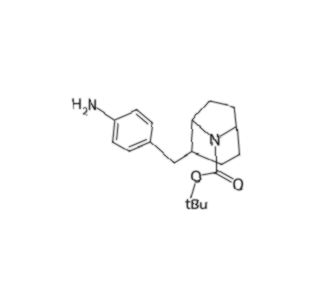 CC(C)(C)OC(=O)N1C2CCC(Cc3ccc(N)cc3)C1CC2